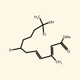 CCC(CC=CC(C)=CC(=O)OC)CCCC(C)(O)CC